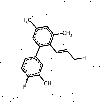 Cc1cc(C)c(C=CCI)c(-c2ccc(F)c(C)c2)c1